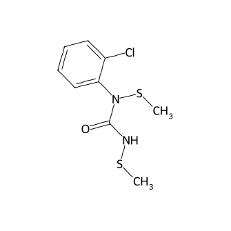 CSNC(=O)N(SC)c1ccccc1Cl